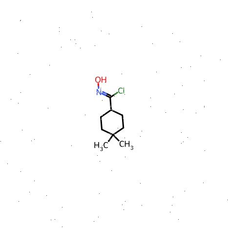 CC1(C)CCC(/C(Cl)=N/O)CC1